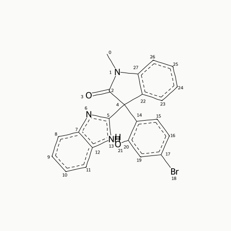 CN1C(=O)C(c2nc3ccccc3[nH]2)(c2ccc(Br)cc2O)c2ccccc21